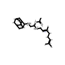 CC(=O)OC(CNC1C2CC3CC(C2)CC1C3)NC/C=C(\C)CCC=C(C)C